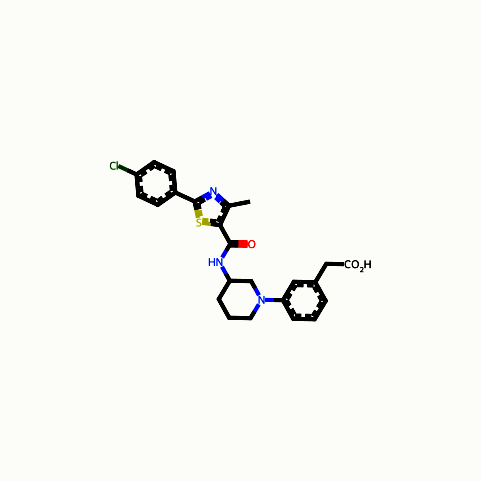 Cc1nc(-c2ccc(Cl)cc2)sc1C(=O)NC1CCCN(c2cccc(CC(=O)O)c2)C1